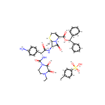 CCN1CCN(C(=O)N[C@@H](C(=O)N[C@@H]2C(=O)N3C(C(=O)OC(c4ccccc4)c4ccccc4)=CCS[C@H]23)c2ccc(N)cc2)C(=O)C1=O.Cc1ccc(S(=O)(=O)O)cc1